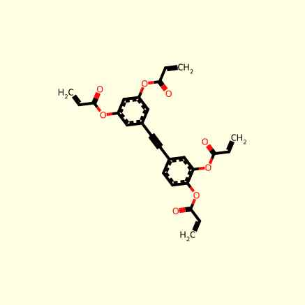 C=CC(=O)Oc1cc(C#Cc2ccc(OC(=O)C=C)c(OC(=O)C=C)c2)cc(OC(=O)C=C)c1